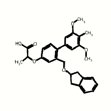 COc1cc(-c2ccc(OC(C)C(=O)O)cc2COC2Cc3ccccc3C2)cc(OC)c1C